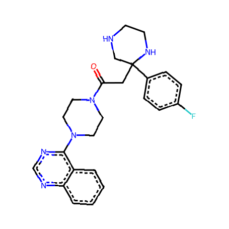 O=C(CC1(c2ccc(F)cc2)CNCCN1)N1CCN(c2ncnc3ccccc23)CC1